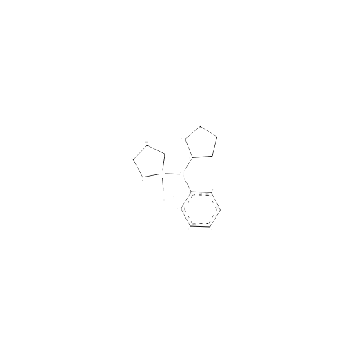 CS1(N(c2ccccc2)C2CCCC2)CCCC1